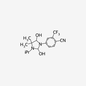 CC(C)N1C(O)N(c2ccc(C#N)c(C(F)(F)F)c2)C(O)C1(C)C